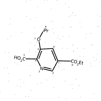 CCOC(=O)c1cnc(C(=O)O)c(OC(C)C)c1